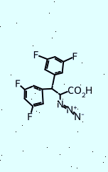 [N-]=[N+]=NC(C(=O)O)C(c1cc(F)cc(F)c1)c1cc(F)cc(F)c1